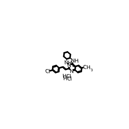 Cc1ccc2nc(C=Cc3ccc(Cl)cc3)nc(N[C@@H]3CCCC[C@H]3N)c2c1.Cl.Cl